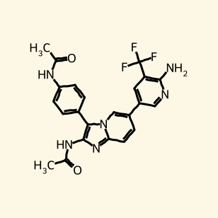 CC(=O)Nc1ccc(-c2c(NC(C)=O)nc3ccc(-c4cnc(N)c(C(F)(F)F)c4)cn23)cc1